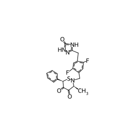 C[C@H]1C(=O)C(=O)[C@@H](c2ccccc2)SN1Cc1cc(F)c(Cc2n[nH]c(=O)[nH]2)cc1F